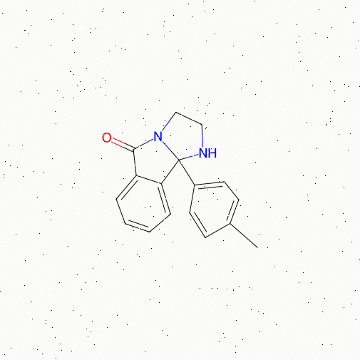 Cc1ccc(C23NCCN2C(=O)c2ccccc23)cc1